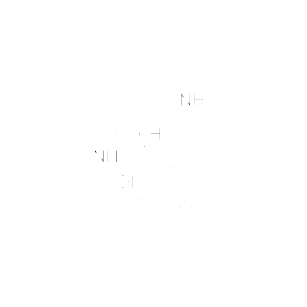 CC1CO1.N.N.O=C(O)O